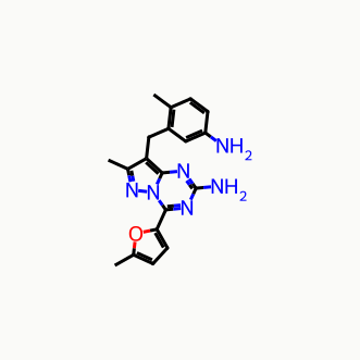 Cc1ccc(-c2nc(N)nc3c(Cc4cc(N)ccc4C)c(C)nn23)o1